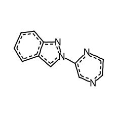 c1ccc2nn(-c3cnccn3)cc2c1